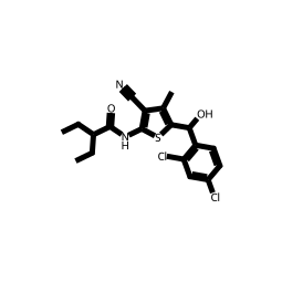 CCC(CC)C(=O)Nc1sc(C(O)c2ccc(Cl)cc2Cl)c(C)c1C#N